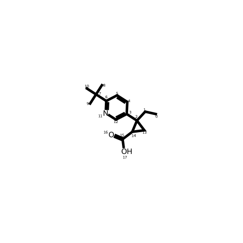 CCC1(c2ccc(C(C)(C)C)nc2)CC1C(=O)O